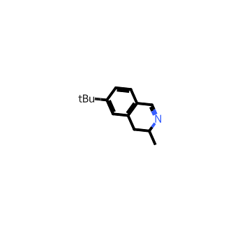 CC1Cc2cc(C(C)(C)C)ccc2C=N1